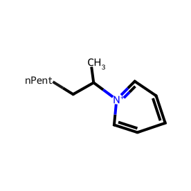 CCCCCCC(C)[n+]1ccccc1